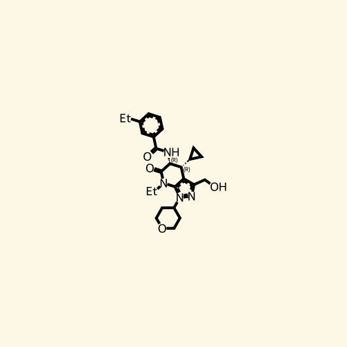 CCc1cccc(C(=O)N[C@H]2C(=O)N(CC)c3c(c(CO)nn3C3CCOCC3)[C@H]2C2CC2)c1